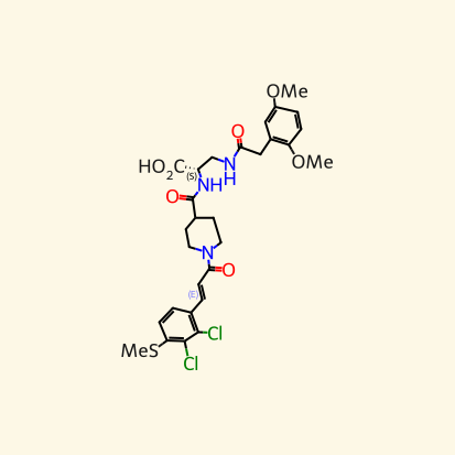 COc1ccc(OC)c(CC(=O)NC[C@H](NC(=O)C2CCN(C(=O)/C=C/c3ccc(SC)c(Cl)c3Cl)CC2)C(=O)O)c1